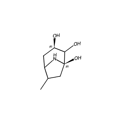 CC1C[C@]2(O)NC1C[C@@H](O)C2O